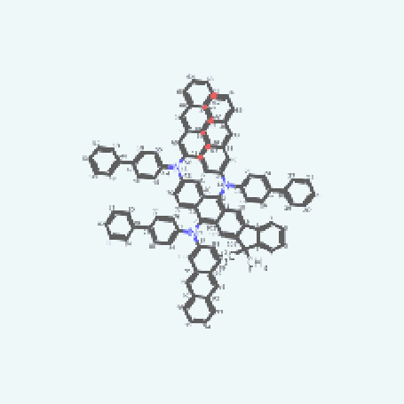 CC1(C)c2ccccc2-c2cc3c(N(c4ccc(-c5ccccc5)cc4)c4ccc5cc6ccccc6cc5c4)c4cc(N(c5ccc(-c6ccccc6)cc5)c5ccc6cc7ccccc7cc6c5)ccc4c(N(c4ccc(-c5ccccc5)cc4)c4ccc5cc6ccccc6cc5c4)c3cc21